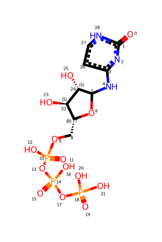 O=c1nc(NC2O[C@H](COP(=O)(O)OP(=O)(O)OP(=O)(O)O)[C@@H](O)[C@@H]2O)cc[nH]1